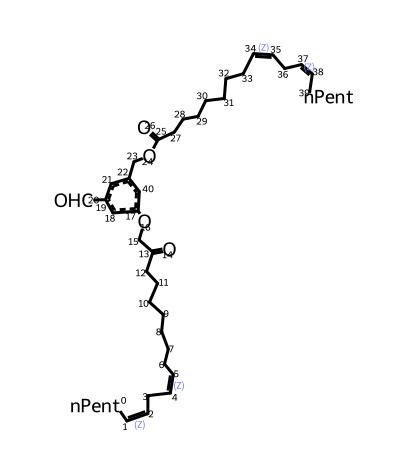 CCCCC/C=C\C/C=C\CCCCCCCC(=O)COc1cc(C=O)cc(COC(=O)CCCCCCC/C=C\C/C=C\CCCCC)c1